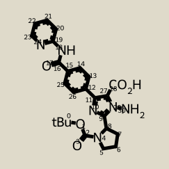 CC(C)(C)OC(=O)N1CCCC1c1nc(-c2ccc(C(=O)Nc3ccccn3)cc2)c(C(=O)O)n1N